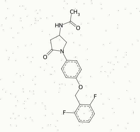 CC(=O)NC1CC(=O)N(c2ccc(OCc3c(F)cccc3F)cc2)C1